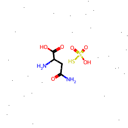 NC(=O)CC(N)C(=O)O.O=S(=O)(O)S